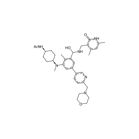 CC(=O)N[C@H]1CC[C@@H](N(C)c2cc(-c3ccc(CN4CCOCC4)nc3)cc(C(O)NCc3c(C)cc(C)[nH]c3=O)c2C)CC1